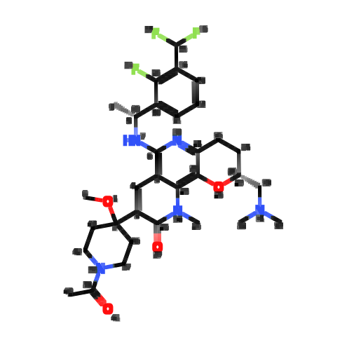 COC1(c2cc3c(N[C@H](C)c4cccc(C(F)F)c4F)nc4c(c3n(C)c2=O)O[C@@H](CN(C)C)CC4)CCN(C(C)=O)CC1